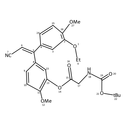 CCOc1cc(C(=CC#N)c2ccc(OC)c(OC(=O)CNC(=O)OC(C)(C)C)c2)ccc1OC